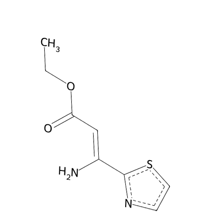 CCOC(=O)C=C(N)c1nccs1